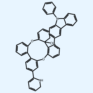 CC12CC=CC=C1Oc1ccccc1-c1ccc(C3=CC=CCN3)cc1Oc1cccc(-c3ccc4c(c3)c3ccccc3n4-c3ccccc3)c12